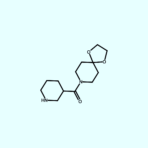 O=C(C1CCCNC1)N1CCC2(CC1)OCCO2